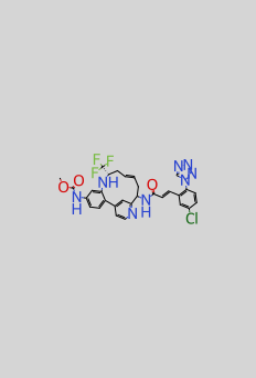 COC(=O)Nc1ccc2c(c1)N[C@H](C(F)(F)F)C/C=C/CC(NC(=O)/C=C/c1cc(Cl)ccc1-n1cnnn1)c1cc-2ccn1